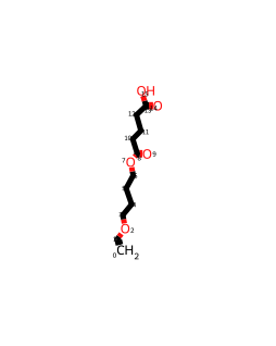 C=COCCCCOC(=O)CCCC(=O)O